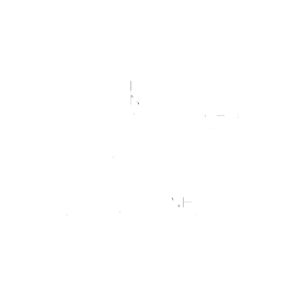 NC1C(C=O)NCC12CCC2